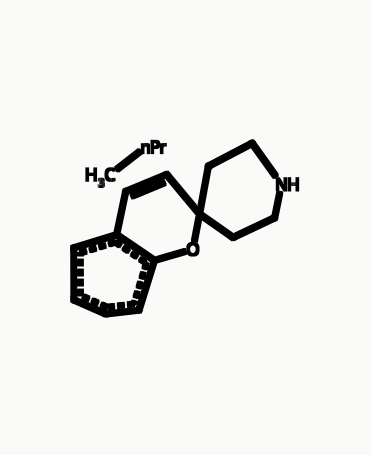 C1=CC2(CCNCC2)Oc2ccccc21.CCCC